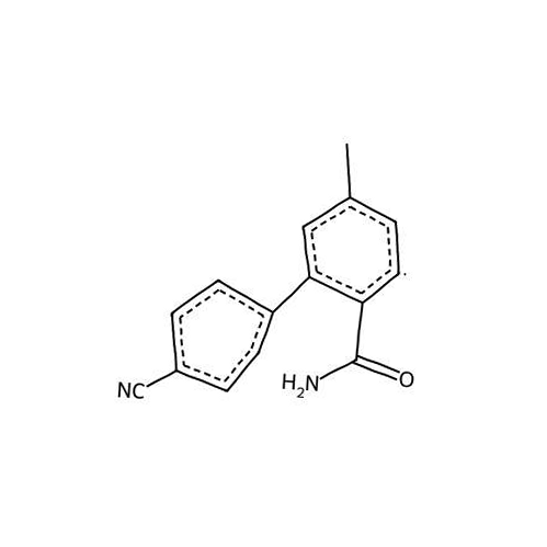 Cc1c[c]c(C(N)=O)c(-c2ccc(C#N)cc2)c1